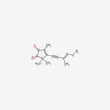 CC(C#CC1=C(C)C(=O)C(=O)C1(C)C)=CCBr